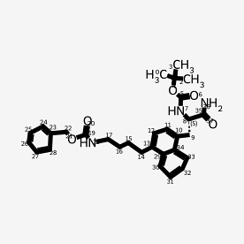 CC(C)(C)OC(=O)N[C@@H](Cc1ccc(CCCCNC(=O)OCc2ccccc2)c2ccccc12)C(N)=O